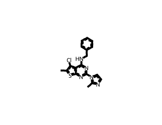 Cc1sc2nc(-n3ccnc3C)nc(NCc3ccccc3)c2c1Cl